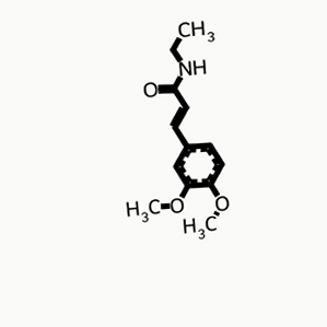 CCNC(=O)/C=C/c1ccc(OC)c(OC)c1